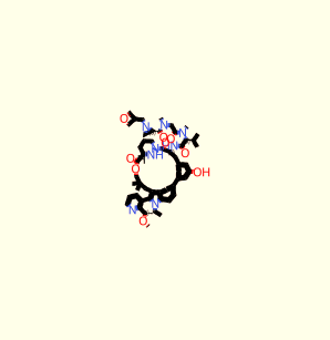 CCn1c(-c2cccnc2[C@H](C)OC)c2c3cc(ccc31)-c1cc(O)cc(c1)C[C@H](NC(=O)[C@H](C(C)C)N(C)C(=O)CN(C)C(=O)[C@@H]1CN1CC1COC1)C(=O)N1CCC[C@H](N1)C(=O)OCC(C)(C)C2